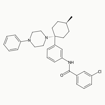 C[C@H]1CC[C@](c2cccc(NC(=O)c3cccc(Cl)c3)c2)(N2CCN(c3ccccc3)CC2)CC1